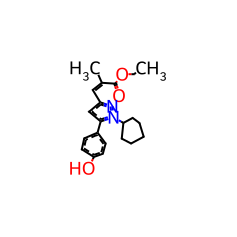 CCOC(=O)C(C)=Cc1cc(-c2ccc(O)cc2)n(C2CCCCC2)n1